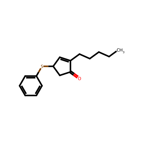 CCCCCC1=CC(Sc2ccccc2)CC1=O